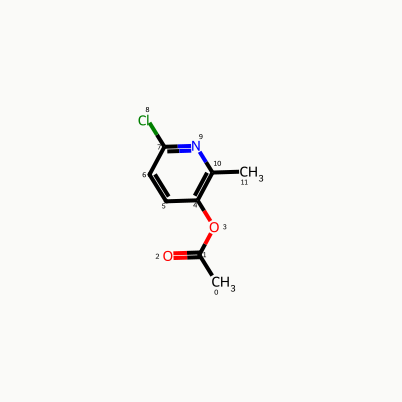 CC(=O)Oc1ccc(Cl)nc1C